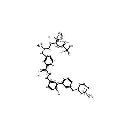 C[C@H]1CN(Cc2cccc(-c3cc(CNC(=O)c4cccc(CN(C)CCC(OC(=O)C(F)(F)F)[N+](C)(C)C)c4)ccc3F)c2)CCN1.[I-]